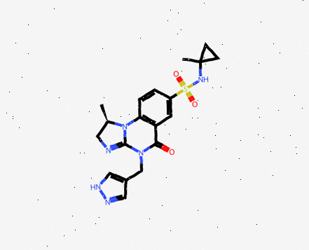 C[C@@H]1CN=C2N(Cc3cn[nH]c3)C(=O)c3cc(S(=O)(=O)NC4(C)CC4)ccc3N21